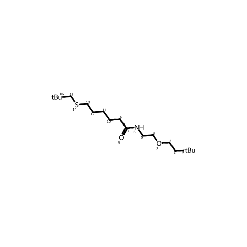 CC(C)(C)CCOCCNC(=O)CCCCCSCC(C)(C)C